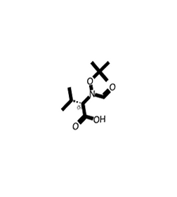 CC(C)[C@@H](C(=O)O)N(C=O)OC(C)(C)C